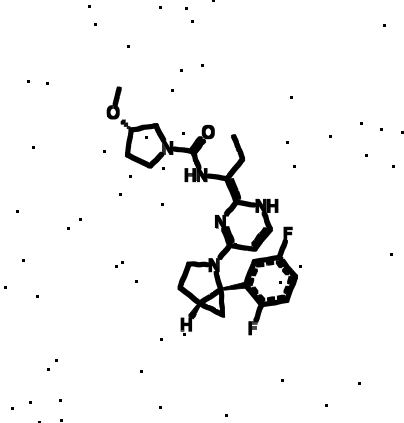 CC/C(NC(=O)N1CC[C@H](OC)C1)=C1/N=C(N2CC[C@H]3C[C@]32c2cc(F)ccc2F)C=CN1